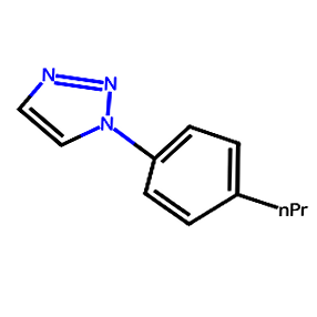 CCCc1ccc(-n2ccnn2)cc1